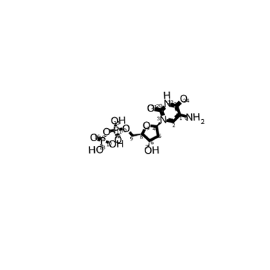 Nc1cn([C@H]2C[C@H](O)[C@@H](COP(=O)(O)OP(=O)(O)O)O2)c(=O)[nH]c1=O